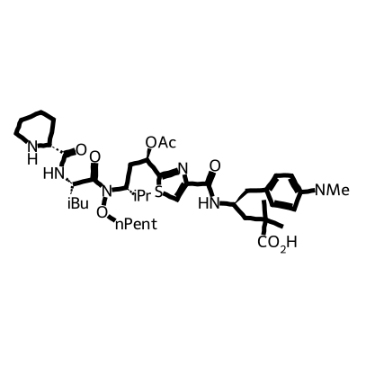 CCCCCON(C(=O)[C@@H](NC(=O)[C@H]1CCCCN1)[C@@H](C)CC)[C@H](C[C@@H](OC(C)=O)c1nc(C(=O)N[C@@H](Cc2ccc(NC)cc2)CC(C)(C)C(=O)O)cs1)C(C)C